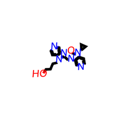 O=c1n(Cc2nc3cnccc3n2CCCCO)c2cnccc2n1C1CC1